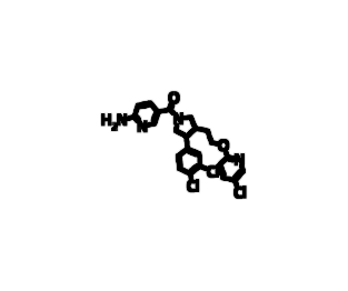 Nc1ccc(C(=O)N2CC(CCOc3ccc(Cl)cn3)C(c3ccc(Cl)c(Cl)c3)C2)cn1